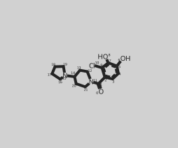 O=C(c1ccc(O)c(O)c1Cl)N1CCC(N2CCCC2)CC1